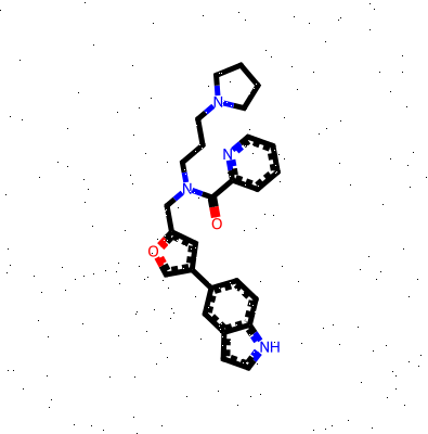 O=C(c1ccccn1)N(CCCN1CCCC1)Cc1cc(-c2ccc3[nH]ccc3c2)co1